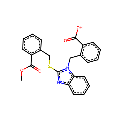 COC(=O)c1ccccc1CSc1nc2ccccc2n1Cc1ccccc1C(=O)O